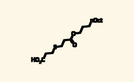 CCCCCCCCCCCOC(=O)CCSCCC(=O)O